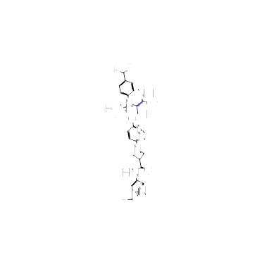 C/C(N)=C(\COc1ccc(N2CC(C(=O)Nc3cnn(C(F)F)c3)C2)nn1)N(N)c1ccc(C(F)F)cc1